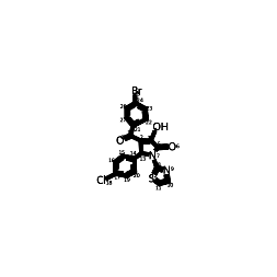 O=C(C1=C(O)C(=O)N(c2nccs2)C1c1ccc(Cl)cc1)c1ccc(Br)cc1